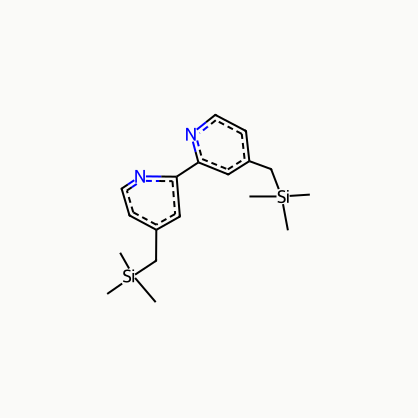 C[Si](C)(C)Cc1ccnc(-c2cc(C[Si](C)(C)C)ccn2)c1